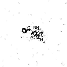 CCO[C@@H]1[C@@H](OC)O[C@H](COC(=O)c2ccccc2)[C@@H](O)[C@@H]1NS(=O)(=O)O.N